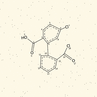 O=C(O)c1ccc(Cl)cc1-c1ccccc1C(=O)Cl